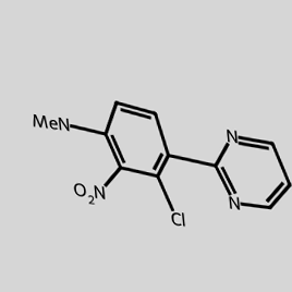 CNc1ccc(-c2ncccn2)c(Cl)c1[N+](=O)[O-]